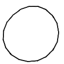 [CH]1CCCCCCC[CH]CCCCCCCCCC1